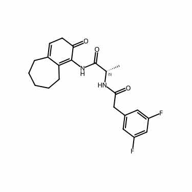 C[C@H](NC(=O)Cc1cc(F)cc(F)c1)C(=O)NC1=C2CCCCCC2=CCC1=O